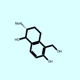 CN[C@@H]1CCc2c(ccc(O)c2CO)C1O